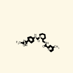 Cc1ccnc(C(=O)NCC2CCCCN2C(=O)Nc2ccc(-c3noc(C(F)(F)F)n3)cc2)c1